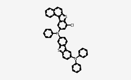 Clc1cc(N(c2ccccc2)c2ccc3c(c2)sc2ccc(N(c4ccccc4)c4ccccc4)cc23)cc2c1sc1ccc3ccccc3c12